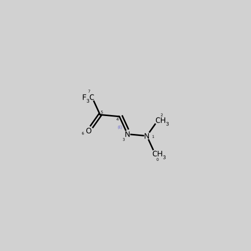 CN(C)/N=C/C(=O)C(F)(F)F